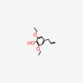 C=CCc1cc(OCC)c(O)c(OCC)c1